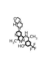 Cc1nnc(N[C@H](C)c2cc(O)cc(C(F)(F)F)c2)c2cc(N3CCN4CCOC[C@@H]4C3)cnc12